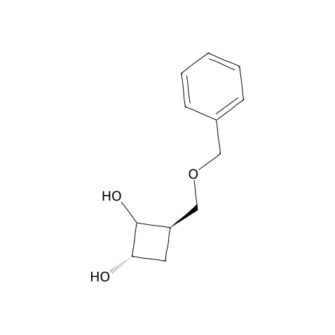 OC1[C@@H](COCc2ccccc2)C[C@@H]1O